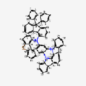 c1ccc(C2(c3ccccc3)c3ccccc3-c3c(N(c4ccc5c(c4)n4c6ccccc6c6ccc7c8ccccc8n5c7c64)c4cccc5sc6ccccc6c45)cccc32)cc1